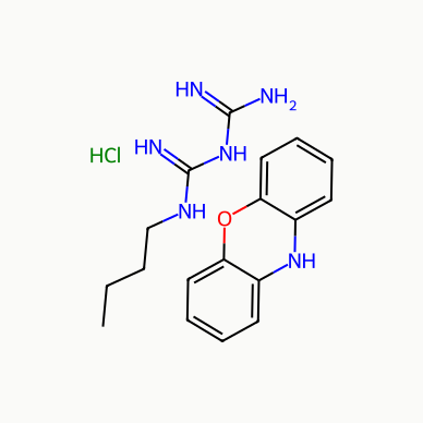 CCCCNC(=N)NC(=N)N.Cl.c1ccc2c(c1)Nc1ccccc1O2